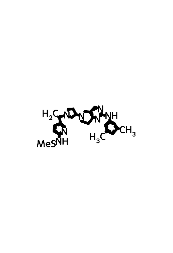 C=C(c1ccc(NSC)nc1)N1CCC(N2CCc3nc(Nc4cc(C)cc(C)c4)ncc3C2)C1